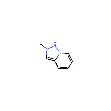 CN1C=C2C=CC=CN2N1